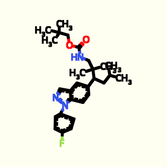 CC(C)CC(c1ccc2c(cnn2-c2ccc(F)cc2)c1)C(C)(C)CNC(=O)OCC(C)(C)C